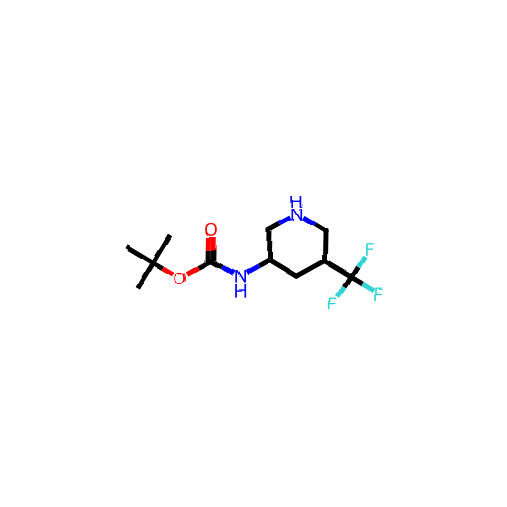 CC(C)(C)OC(=O)NC1CNCC(C(F)(F)F)C1